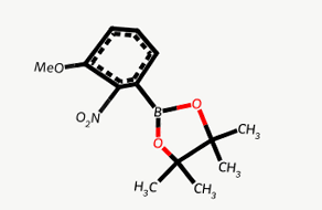 COc1cccc(B2OC(C)(C)C(C)(C)O2)c1[N+](=O)[O-]